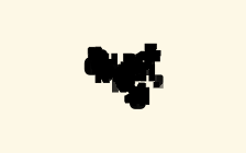 BC(B)(C1CCC(F)(F)CC1)n1cc(-c2cnn(C(=O)OC(C)(C)C)c2)c2ncc(-c3c(C)noc3C)cc21